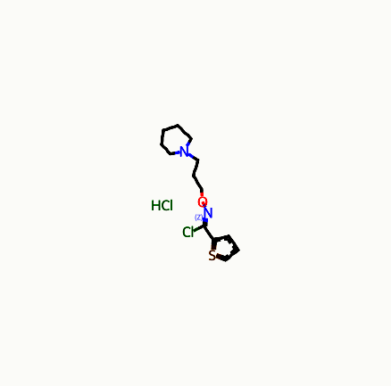 Cl.Cl/C(=N\OCCCN1CCCCC1)c1cccs1